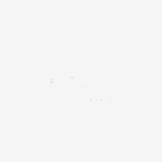 CC(F)(F)C12CC(C(=O)O)(C1)C2